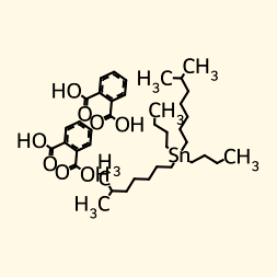 CCC[CH2][Sn]([CH2]CCC)([CH2]CCCCC(C)C)[CH2]CCCCC(C)C.O=C(O)c1ccccc1C(=O)O.O=C(O)c1ccccc1C(=O)O